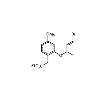 CCOC(=O)Cc1ccc(OC)cc1OC(C)/C=C/Br